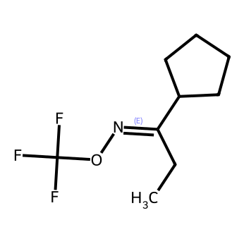 CC/C(=N\OC(F)(F)F)C1CCCC1